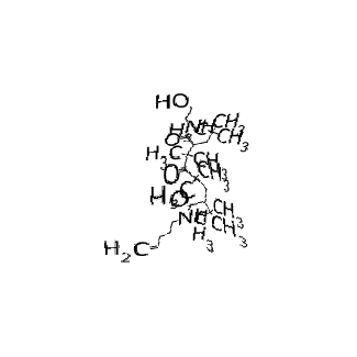 C=CCCCNC(=O)C(CC(C)(C)C(=O)C(C)(C)C(CC(C)(C)C)C(=O)NCCO)C(C)(C)C